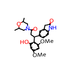 COc1cc(O)c(C(CC(=O)N2CC(C)OC(C)C2)c2ccc3c(c2)CC(=O)N3)c(OC)c1